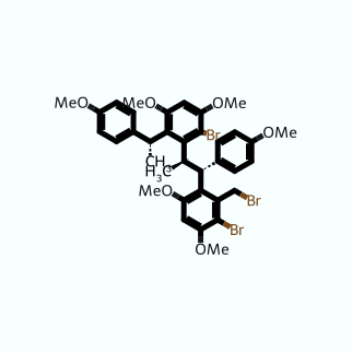 COc1ccc([C@@H](C)c2c(OC)cc(OC)c(Br)c2[C@H](C)[C@H](c2ccc(OC)cc2)c2c(OC)cc(OC)c(Br)c2CBr)cc1